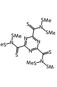 CSN(SC)C(=S)c1nc(C(=S)N(SC)SC)nc(C(=S)N(SC)SC)n1